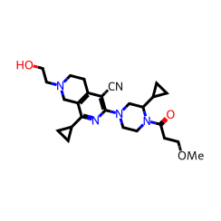 COCCC(=O)N1CCN(c2nc(C3CC3)c3c(c2C#N)CCN(CCO)C3)CC1C1CC1